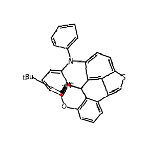 CC(C)(C)c1cc[n+]2c(c1)Oc1cccc3c1C21c2c(ccc4scc-3c24)N(c2ccccc2)c2cccc[n+]21